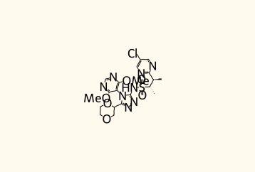 COc1ncnc(OC)c1-n1c(NS(=O)(=O)[C@@H](C)[C@H](C)c2ncc(Cl)cn2)nnc1C1COCCO1